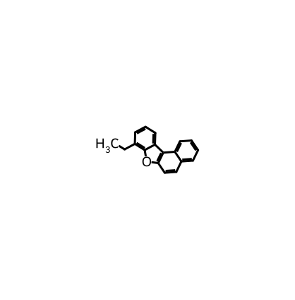 CCc1cccc2c1oc1ccc3ccccc3c12